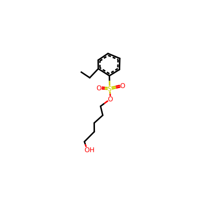 CCc1ccccc1S(=O)(=O)OCCCCCO